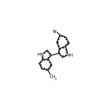 Cc1ccc2[nH]cc(-c3c[nH]c4ccc(Br)cc34)c2c1